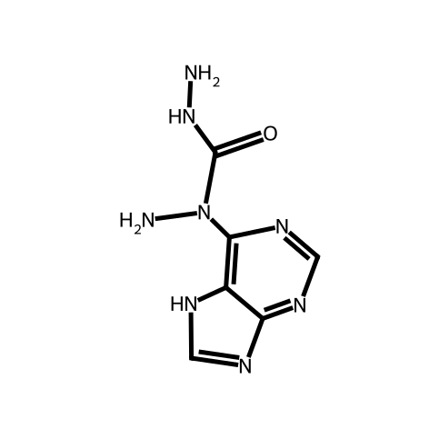 NNC(=O)N(N)c1ncnc2nc[nH]c12